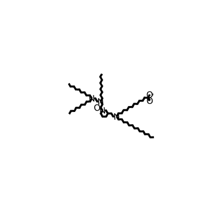 CCCCCCCCCCCCCCN(CCCCCCCCCCCC(=O)OC)CCC1CCCN(C(=O)CN(CCCCCCCCC)CCN(CCCCCCCCC)CCCCCCCCC)C1